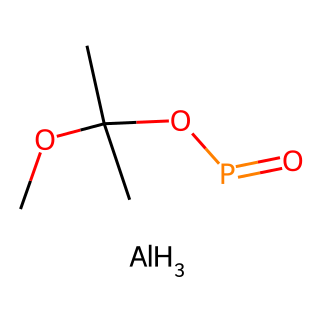 COC(C)(C)OP=O.[AlH3]